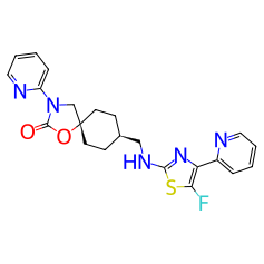 O=C1O[C@]2(CC[C@H](CNc3nc(-c4ccccn4)c(F)s3)CC2)CN1c1ccccn1